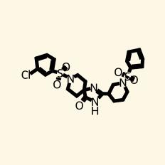 O=C1NC(C2CCCN(S(=O)(=O)c3ccccc3)C2)=NC12CCN(S(=O)(=O)c1cccc(Cl)c1)CC2